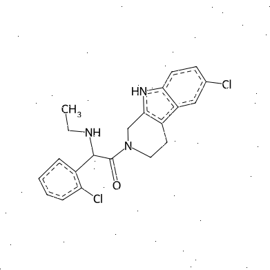 CCNC(C(=O)N1CCc2c([nH]c3ccc(Cl)cc23)C1)c1ccccc1Cl